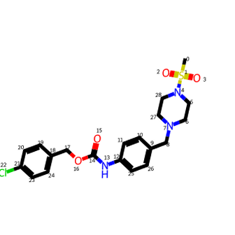 CS(=O)(=O)N1CCN(Cc2ccc(NC(=O)OCc3ccc(Cl)cc3)cc2)CC1